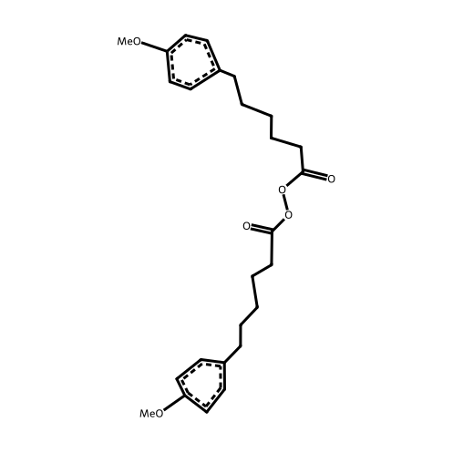 COc1ccc(CCCCCC(=O)OOC(=O)CCCCCc2ccc(OC)cc2)cc1